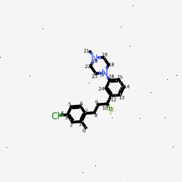 Cc1cc(Cl)ccc1CCC(F)c1cccc(N2CCN(C)CC2)c1